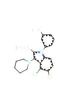 CCOC(=O)c1c(N2CCCCC2)c2c(Cl)c(Cl)ccc2n1-c1cccc(C)c1